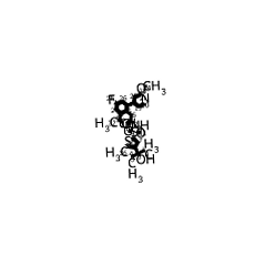 CCC(O)(CC)c1cc(S(=O)(=O)NC(=O)Cc2c(-c3ccnc(OC)c3)cc(F)cc2C(C)C)sc1C